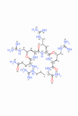 N=C(N)NCCC[C@H](NC(=O)[C@H](CCCNC(=N)N)NC(=O)[C@H](CCCNC(=N)N)NC(=O)[C@H](CCCNC(=N)N)NC(=O)[C@@H](N)CCC(N)=O)C(N)=O